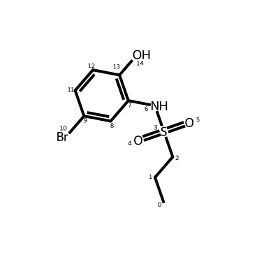 CCCS(=O)(=O)Nc1cc(Br)ccc1O